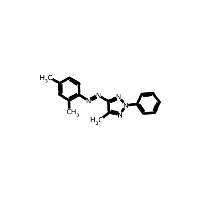 Cc1ccc(N=Nc2nn(-c3ccccc3)nc2C)c(C)c1